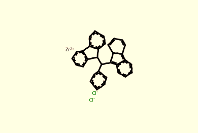 C1=CC2=c3ccccc3=C(C(c3ccccc3)C3c4ccccc4-c4ccccc43)C2C=C1.[Cl-].[Cl-].[Zr+2]